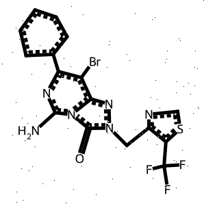 Nc1nc(-c2ccccc2)c(Br)c2nn(Cc3ncsc3C(F)(F)F)c(=O)n12